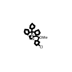 COC(Cc1nccn1C(c1ccccc1)(c1ccccc1)c1ccccc1)c1cccc(Cl)c1